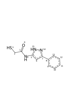 O=C(CS)Nc1cc(-c2ccccc2)n[nH]1